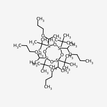 CCCOC(C)[Si]1(C(C)(C)C)O[Si](C(C)OCCC)(C(C)(C)C)O[Si](C(C)OCCC)(C(C)(C)C)O[Si](C(C)OCCC)(C(C)(C)C)O1